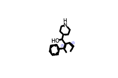 C/C=C\C(=C(/C)c1ccccc1)C(O)C1CCNCC1